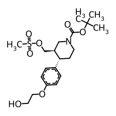 CC(C)(C)OC(=O)N1CC[C@H](c2ccc(OCCO)cc2)[C@@H](COS(C)(=O)=O)C1